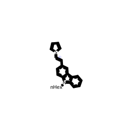 CCCCCCn1c2ccccc2c2cc(/C=C/[SH]3C=CC=C3)ccc21